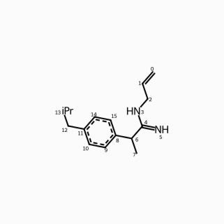 C=CCNC(=N)C(C)c1ccc(CC(C)C)cc1